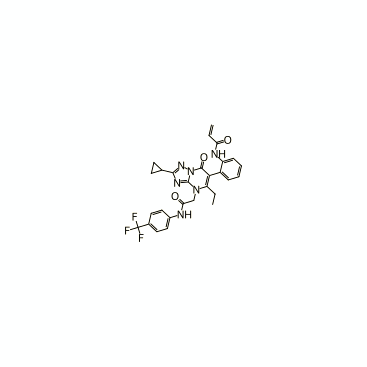 C=CC(=O)Nc1ccccc1-c1c(CC)n(CC(=O)Nc2ccc(C(F)(F)F)cc2)c2nc(C3CC3)nn2c1=O